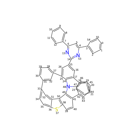 c1ccc(-c2cc(-c3ccccc3)nc(-c3cc(-c4ccccc4)c4c(c3)c3cccc(c3)c3ccc5sc6ccc7c8ccccc8n4c7c6c5c3)n2)cc1